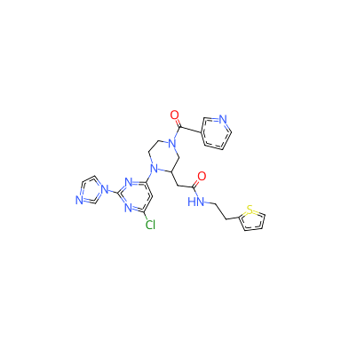 O=C(CC1CN(C(=O)c2cccnc2)CCN1c1cc(Cl)nc(-n2ccnc2)n1)NCCc1cccs1